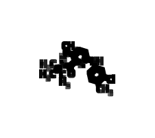 COc1ccc(Nc2ccc(C)c(Cl)c2)nc1C(=O)NC(C)(C)C